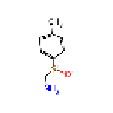 Cc1ccc([S+]([O-])CN)cc1